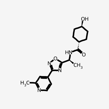 Cc1cc(-c2noc([C@H](C)NC(=O)[C@H]3CC[C@H](O)CC3)n2)ccn1